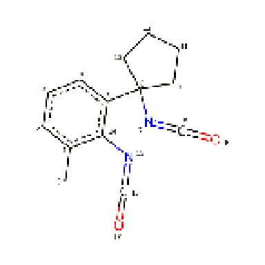 Cc1cccc(C2(N=C=O)CCCC2)c1N=C=O